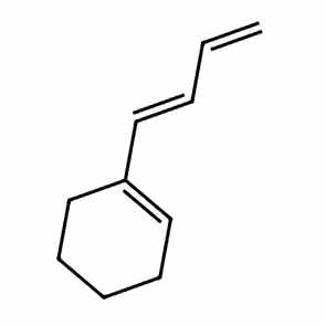 C=CC=CC1=CCCCC1